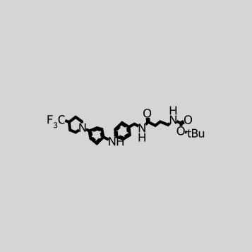 CC(C)(C)OC(=O)NCCCC(=O)NCc1ccc(Nc2ccc(N3CCC(C(F)(F)F)CC3)cc2)cc1